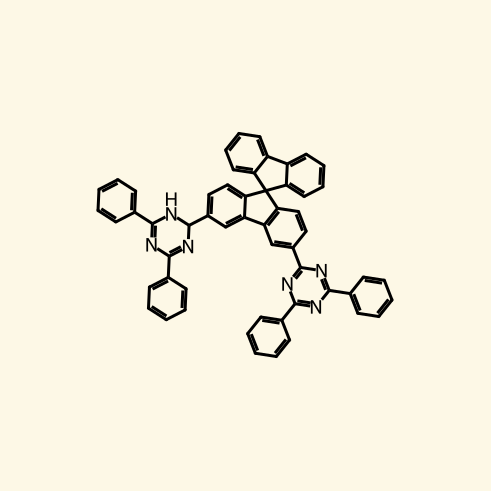 c1ccc(C2=NC(c3ccc4c(c3)-c3cc(-c5nc(-c6ccccc6)nc(-c6ccccc6)n5)ccc3C43c4ccccc4-c4ccccc43)NC(c3ccccc3)=N2)cc1